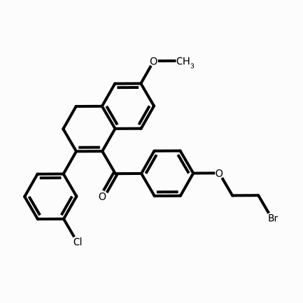 COc1ccc2c(c1)CCC(c1cccc(Cl)c1)=C2C(=O)c1ccc(OCCBr)cc1